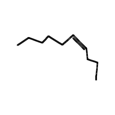 CCCCC/C=C\CCI